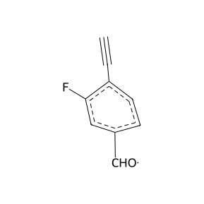 C#Cc1ccc([C]=O)cc1F